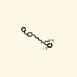 NCCN(CCCCCCN1CCC(Cc2ccccc2)CC1)Cc1ccccc1O